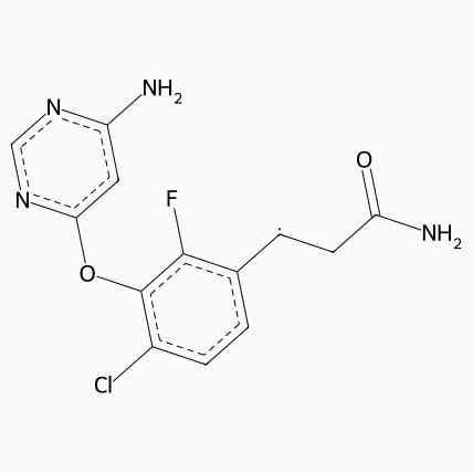 NC(=O)C[CH]c1ccc(Cl)c(Oc2cc(N)ncn2)c1F